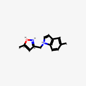 Cc1ccc2c(ccn2Cc2cc(C)on2)c1